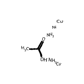 CC(=O)O.N.N.[Cu].[Cu].[Ni]